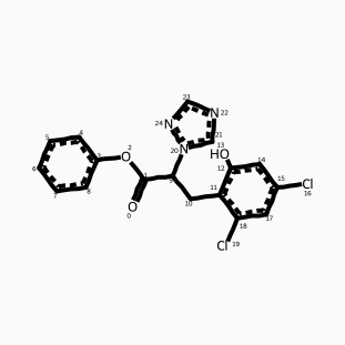 O=C(Oc1ccccc1)C(Cc1c(O)cc(Cl)cc1Cl)n1cncn1